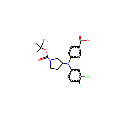 CC(C)(C)OC(=O)N1CC[C@H](N(c2ccc(C(=O)O)cc2)c2ccc(F)c(Cl)c2)C1